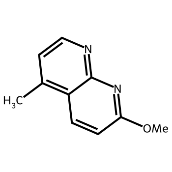 COc1ccc2c(C)ccnc2n1